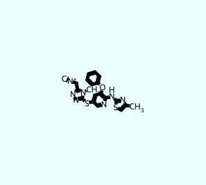 [C-]#[N+]Cc1nnc(Sc2cnc(Nc3nc(C)cs3)c(Oc3ccccc3)c2)n1C